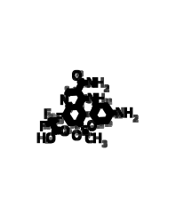 CS(=O)(=O)c1ccc2ncc(C(N)=O)c(Nc3cccc(N)c3)c2c1.O=C(O)C(F)(F)F